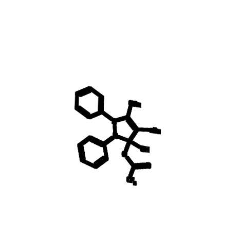 CCCCC1=C(OC(C)=O)N(c2ccccc2)N(c2ccccc2)C1(O)OC(=O)C(F)(F)F